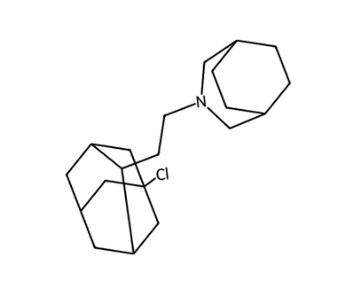 ClC12CC3CC(C1)C(CCN1CC4CCC(CC4)C1)C(C3)C2